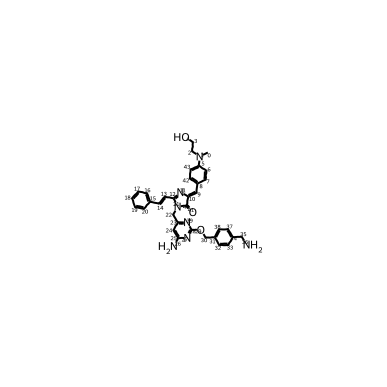 CN(CCO)c1ccc(/C=C2N=C(/C=C/c3ccccc3)N(Cc3cc(N)nc(OCc4ccc(CN)cc4)n3)C\2=O)cc1